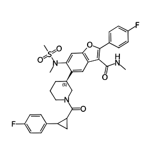 CNC(=O)c1c(-c2ccc(F)cc2)oc2cc(N(C)S(C)(=O)=O)c([C@@H]3CCCN(C(=O)C4CC4c4ccc(F)cc4)C3)cc12